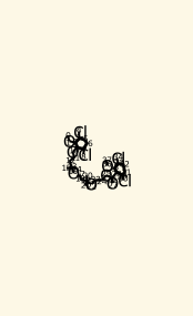 COc1c(Cl)ccc(Cl)c1OCCC(C)(C)OCCC(C)(C)OCCOC(=O)c1c(Cl)ccc(Cl)c1OC